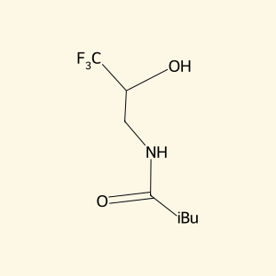 CCC(C)C(=O)NCC(O)C(F)(F)F